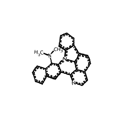 CN(C)c1c2ccccc2cc2c3nccc4ccc5c6ccccc6n(c12)c5c43